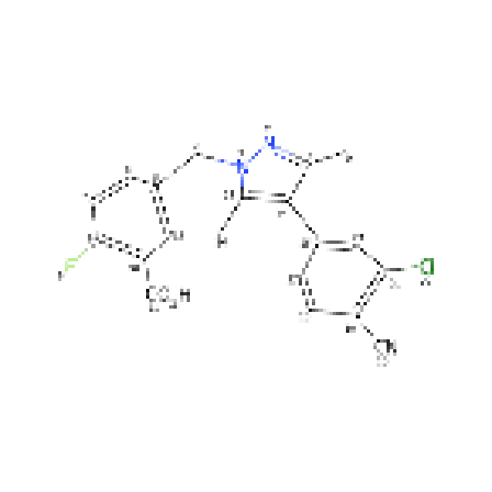 Cc1nn(Cc2ccc(F)c(C(=O)O)c2)c(C)c1-c1ccc(C#N)c(Cl)c1